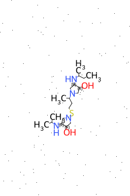 CCC(C)N[C@@H]1CN(C(C)CCSN2C[C@@H](O)[C@H](NC(C)C)C2)C[C@H]1O